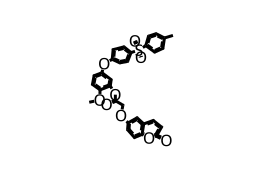 COc1ccc(Oc2ccc(S(=O)(=O)c3ccc(C)cc3)cc2)cc1OC(=O)COc1ccc2oc(=O)ccc2c1